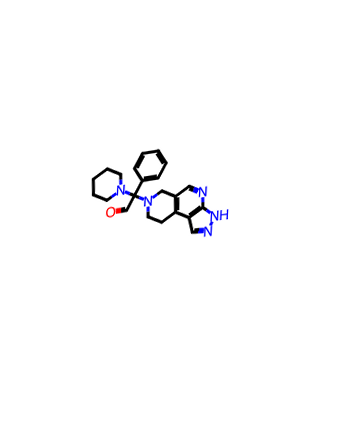 O=CC(c1ccccc1)(N1CCCCC1)N1CCc2c(cnc3[nH]ncc23)C1